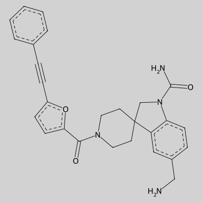 NCc1ccc2c(c1)C1(CCN(C(=O)c3ccc(C#Cc4ccccc4)o3)CC1)CN2C(N)=O